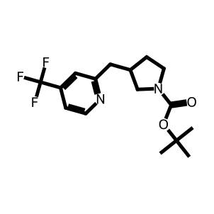 CC(C)(C)OC(=O)N1CCC(Cc2cc(C(F)(F)F)ccn2)C1